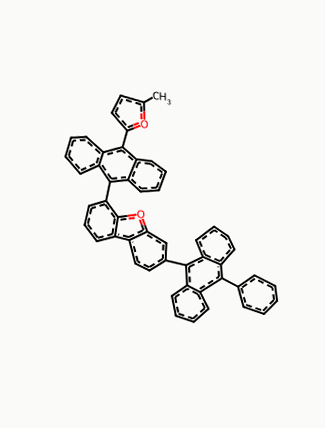 Cc1ccc(-c2c3ccccc3c(-c3cccc4c3oc3cc(-c5c6ccccc6c(-c6ccccc6)c6ccccc56)ccc34)c3ccccc23)o1